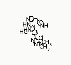 CN(C)c1ncnc(-c2ccc3nc(Nc4cc(CN5CCNCC5)ccn4)[nH]c3c2)c1Cl.Cl